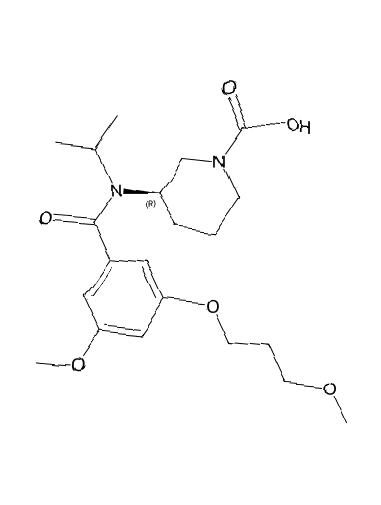 COCCCOc1cc(OC)cc(C(=O)N(C(C)C)[C@@H]2CCCN(C(=O)O)C2)c1